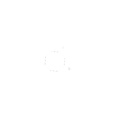 C1=CCCCCCC1.[Ir].[Ir]